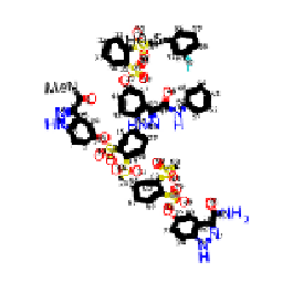 CNC(=O)c1n[nH]c2ccc(OS(=O)(=O)c3ccccc3S(C)(=O)=O)cc12.CS(=O)(=O)c1ccccc1S(=O)(=O)Oc1ccc2[nH]nc(C(=O)Nc3ccccc3)c2c1.CS(=O)(=O)c1ccccc1S(=O)(=O)Oc1ccc2[nH]nc(C(N)=O)c2c1.O=S(=O)(O)c1cccc(F)c1